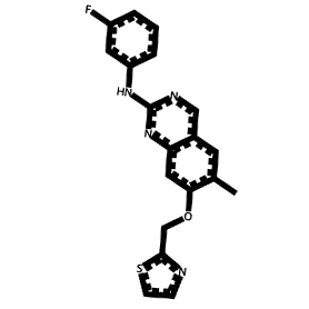 Cc1cc2cnc(Nc3cccc(F)c3)nc2cc1OCc1nccs1